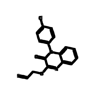 O=c1c(OCC=S)nc2ccccc2n1-c1ccc(Cl)cc1